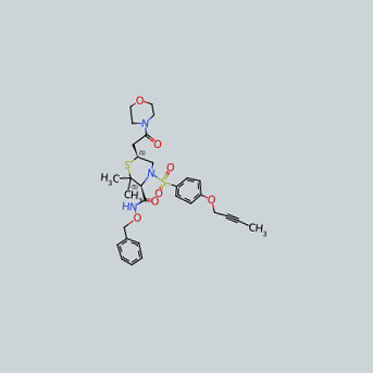 CC#CCOc1ccc(S(=O)(=O)N2C[C@H](CC(=O)N3CCOCC3)SC(C)(C)[C@@H]2C(=O)NOCc2ccccc2)cc1